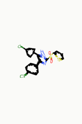 O=S(=O)(c1nc(-c2ccc(Cl)cc2)c(-c2ccc(Cl)cc2)[nH]1)c1cccs1